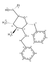 CC[C@@H](O)C1O[C@H](Sc2ccccc2)C(OCc2ccccc2)[C@@H](C)[C@@H]1C